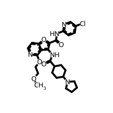 COCCOc1nccc2oc(C(=O)Nc3ccc(Cl)cn3)c(NC(=O)C3CCC(N4CCCC4)CC3)c12